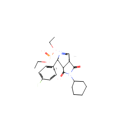 CCOP(=O)(OCC)[C@]1(c2ccc(F)cc2)N=C[C@H]2C(=O)N(C3CCCCC3)C(=O)[C@H]21